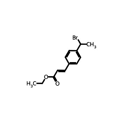 CCOC(=O)C=Cc1ccc(C(C)Br)cc1